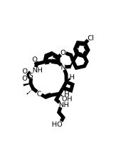 C[C@@H]1[C@@H](C)C/C=C/[C@](O)(CNCCO)[C@@H]2CC[C@H]2CN2C[C@@]3(CCCc4cc(Cl)ccc43)COc3ccc(cc32)C(=O)NS1(=O)=O